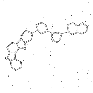 c1cc(-c2cccc(-c3ccc4c(c3)oc3c4ccc4oc5ccccc5c43)c2)cc(-c2ccc3ccccc3c2)c1